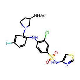 CC(=O)N[C@@H]1CCN(c2cc(F)ccc2Nc2ccc(S(=O)(=O)Nc3cscn3)cc2Cl)C1